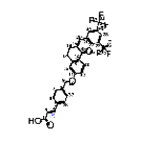 O=C(O)/C=C/c1ccc(COc2ccc3c(c2)CCC(=Cc2cc(C(F)(F)F)cc(C(F)(F)F)c2)C3=O)cc1